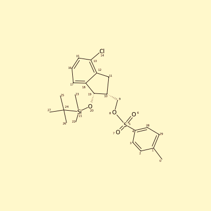 Cc1ccc(S(=O)(=O)OC[C@H]2Cc3c(Cl)cccc3[C@H]2O[Si](C)(C)C(C)(C)C)cc1